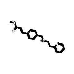 COC(=O)C=Cc1ccc(CNCCc2ccccn2)cc1